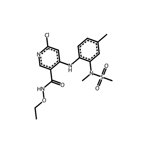 CCONC(=O)c1cnc(Cl)cc1Nc1ccc(C)cc1N(C)S(C)(=O)=O